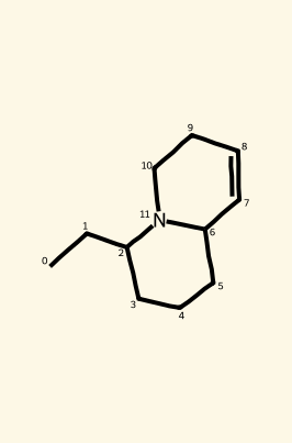 CCC1CCCC2C=CCCN21